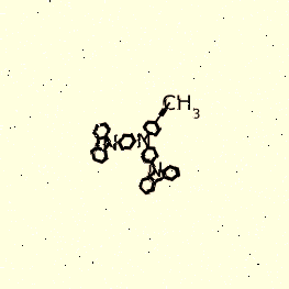 CC#Cc1ccc(N(c2ccc(-n3c4ccccc4c4ccccc43)cc2)c2ccc(-n3c4ccccc4c4ccccc43)cc2)cc1